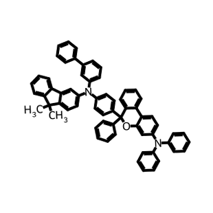 CC1(C)c2ccccc2-c2cc(N(c3ccc(C4(c5ccccc5)Oc5cc(N(c6ccccc6)c6ccccc6)ccc5-c5ccccc54)cc3)c3cccc(-c4ccccc4)c3)ccc21